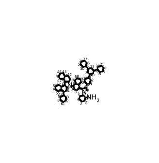 Nc1ccccc1N1C[C@H](c2ccc(-c3cc(-c4ccccc4)cc(-c4ccccc4)c3)cc2)C1c1ccc(-n2c3ccc4ccccc4c3c3c4ccccc4c(-c4ccccc4)cc32)c2ccccc12